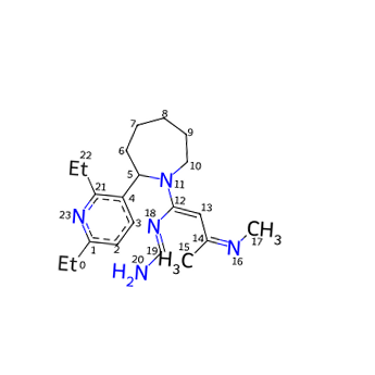 CCc1ccc(C2CCCCCN2C(=C/C(C)=N\C)/N=C/N)c(CC)n1